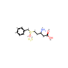 NC(CC[S+]([O-])Cc1ccccc1)CC(=O)O.S